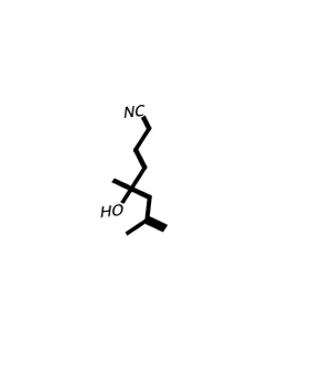 C=C(C)CC(C)(O)CCCC#N